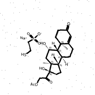 CC(=O)OCC(=O)[C@@]1(O)CC[C@H]2[C@@H]3CCC4=CC(=O)CC[C@]4(C)[C@H]3[C@@H](O)C[C@@]21C.O=S(=O)([O-])CCS.[Na+]